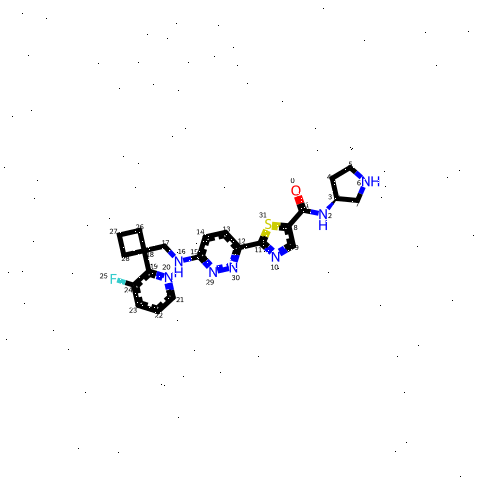 O=C(N[C@H]1CCNC1)c1cnc(-c2ccc(NCC3(c4ncccc4F)CCC3)nn2)s1